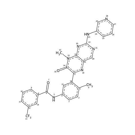 Cc1ccc(NC(=O)c2cccc(C(F)(F)F)c2)cc1-c1nc2cnc(Nc3cccnc3)nc2n(C)c1=O